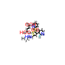 CNCc1cc(-c2cccnc2F)c(S(=O)(=O)c2ccccn2)s1.O=C(O)/C=C/C(=O)O